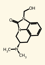 CN(C)[C@@H]1Cc2cccc3c2n(c(=O)n3CO)C1